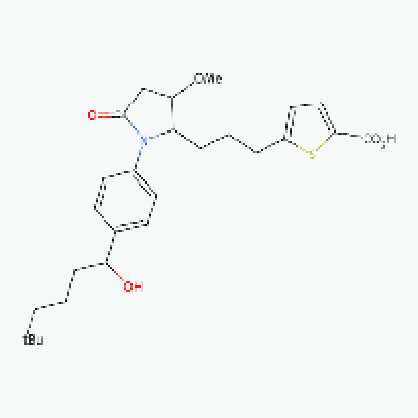 COC1CC(=O)N(c2ccc(C(O)CCCC(C)(C)C)cc2)C1CCCc1ccc(C(=O)O)s1